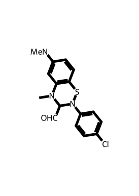 CNc1ccc2c(c1)N(C)C(C=O)N(c1ccc(Cl)cc1)S2